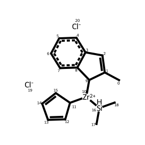 CC1=Cc2ccccc2[CH]1[Zr+2]([CH]1C=CC=C1)[SiH](C)C.[Cl-].[Cl-]